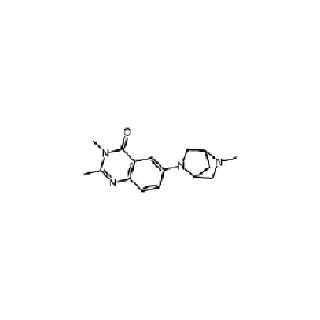 Cc1nc2ccc(N3CC4CC3CN4C)cc2c(=O)n1C